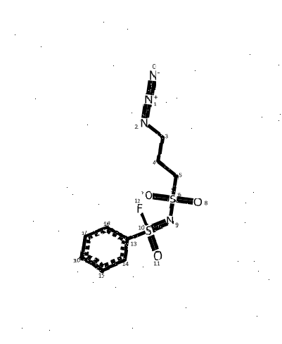 [N-]=[N+]=NCCCS(=O)(=O)N=S(=O)(F)c1ccccc1